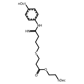 CCCCCCCCCCCCOC(=O)CCSCCCC(=N)Nc1ccc(CCCCCCCC)cc1